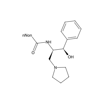 CCCCCCCCCC(=O)N[C@H](CN1CCCC1)[C@H](O)c1ccccc1